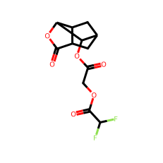 O=C(COC(=O)C(F)F)OC1C2CC3C(=O)OC1C3C2